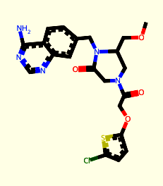 COCC1CN(C(=O)COc2ccc(Cl)s2)CC(=O)N1Cc1ccc2c(N)ncnc2c1